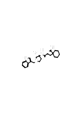 N#CC1(NC(=O)[CH]CC2(C(N)=O)CCCCC2)CCN(Cc2c[nH]c3ccccc23)C1